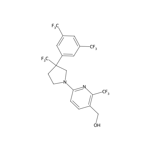 OCc1ccc(N2CCC(c3cc(C(F)(F)F)cc(C(F)(F)F)c3)(C(F)(F)F)C2)nc1C(F)(F)F